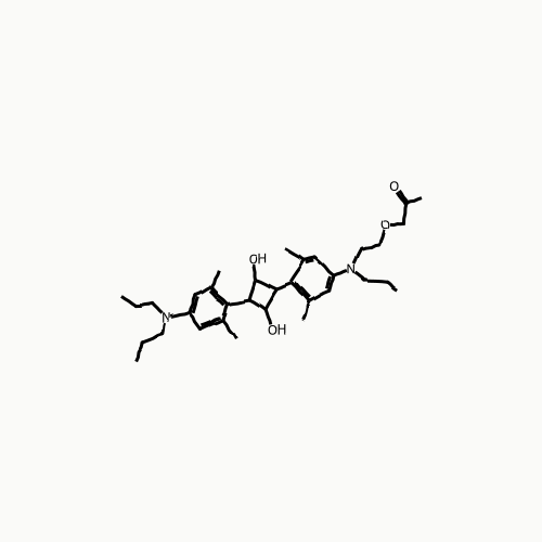 CCCN(CCC)c1cc(C)c(C2C(O)C(c3c(C)cc(N(CCC)CCOCC(C)=O)cc3C)C2O)c(C)c1